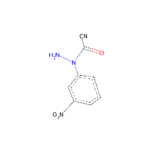 N#CC(=O)N(N)c1cccc([N+](=O)[O-])c1